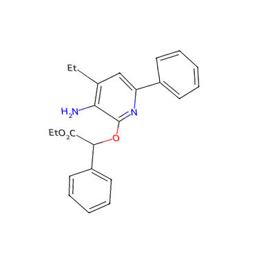 CCOC(=O)C(Oc1nc(-c2ccccc2)cc(CC)c1N)c1ccccc1